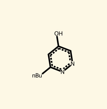 [CH2]CCCc1cc(O)cnn1